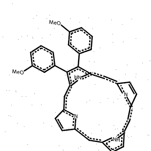 COc1cccc(-c2c(-c3cccc(OC)c3)c3cc4nc(cc5ccc(cc6nc(cc2[nH]3)C=C6)[nH]5)C=C4)c1